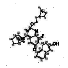 CN1CCC1CCOc1nc(N2CC3CCC(C2)N3)c2cc(Cl)c([C@@H]3CC(O)=Cc4ccccc43)c(F)c2n1